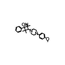 COc1ccc(N2CCN(C3C(C)(C)C(O)(c4ccccc4)C3(C)C)CC2)cc1